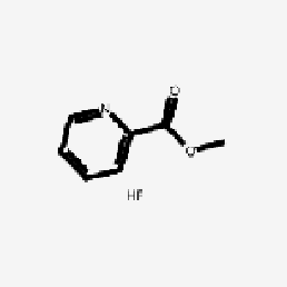 COC(=O)c1ccccn1.F